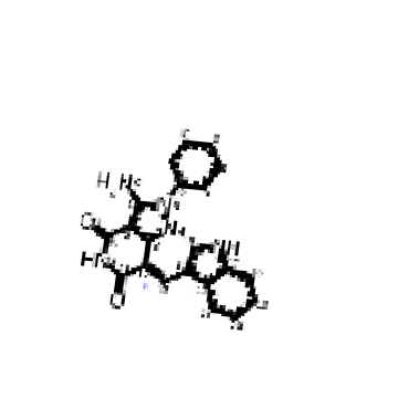 Nc1c2c(nn1-c1ccccc1)/C(=C\c1c[nH]c3ccccc13)C(=O)NC2=O